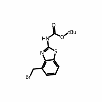 CC(C)(C)OC(=O)Nc1nc2c(CBr)cccc2s1